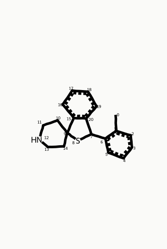 Cc1ccccc1C1SC2(CCNCC2)c2ccccc21